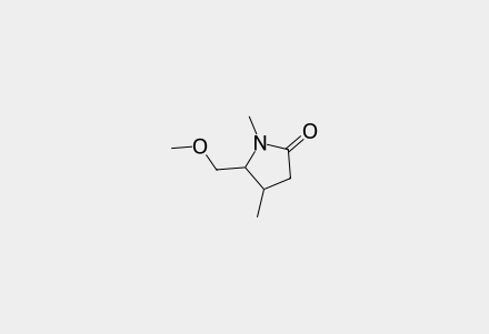 COCC1C(C)CC(=O)N1C